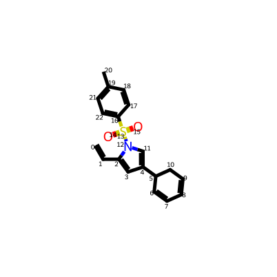 C=Cc1cc(C2C=CC=CC2)cn1S(=O)(=O)c1ccc(C)cc1